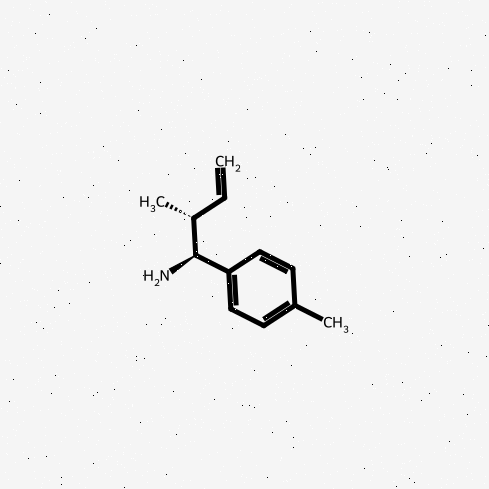 C=C[C@@H](C)[C@H](N)c1ccc(C)cc1